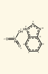 O=[SH](=O)O.c1ccc2[nH]nnc2c1